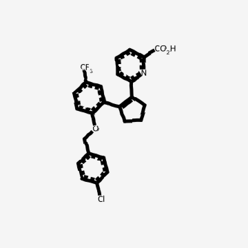 O=C(O)c1cccc(C2=C(c3cc(C(F)(F)F)ccc3OCc3ccc(Cl)cc3)CCC2)n1